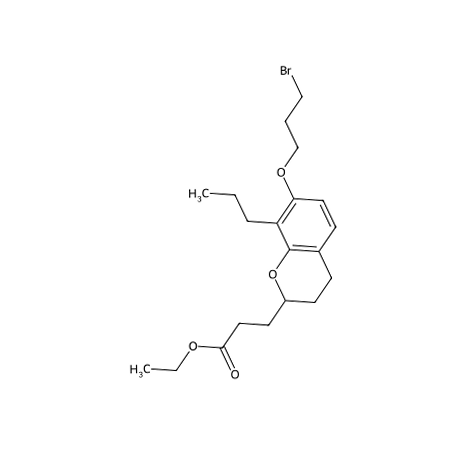 CCCc1c(OCCCBr)ccc2c1OC(CCC(=O)OCC)CC2